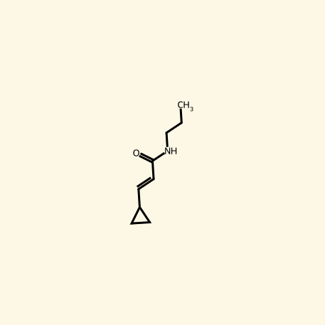 CCCNC(=O)C=CC1CC1